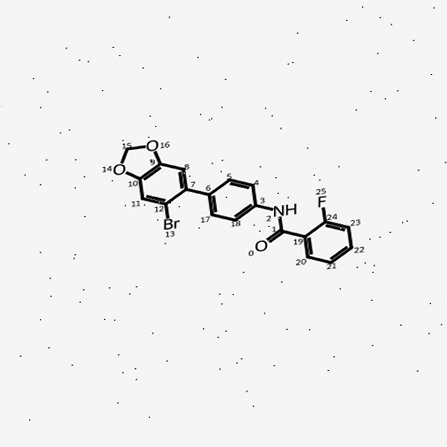 O=C(Nc1ccc(-c2cc3c(cc2Br)OCO3)cc1)c1ccccc1F